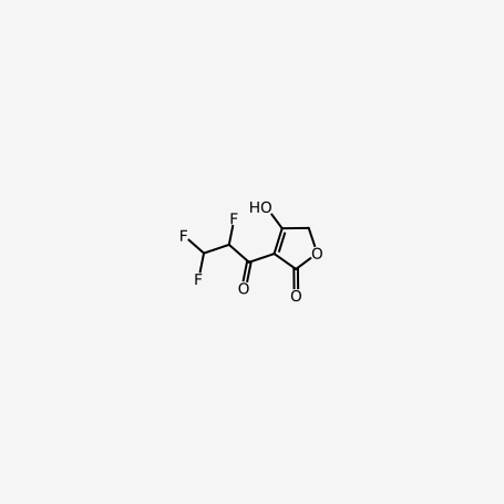 O=C1OCC(O)=C1C(=O)C(F)C(F)F